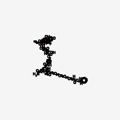 CCCC1O[C@@H]2C[C@H]3[C@@H]4C[C@H](F)C5=CC(=O)C=C[C@]5(C)[C@@]4(F)[C@@H](O)C[C@]3(C)[C@]2(C(=O)COC(=O)C(C)(C)NC(=O)[C@H](CO)NC(=O)OCc2ccc(NC(=O)[C@H](CCCNC(N)=O)NC(=O)[C@@H](NC(=O)CCOCCOCCOCCOCCNC(=O)OC[C@@H]3[C@@H]4CCC#CCC[C@@H]43)C(C)C)cc2)O1